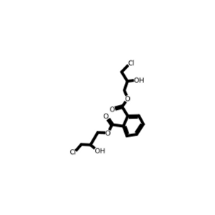 O=C(OCC(O)CCl)c1ccccc1C(=O)OCC(O)CCl